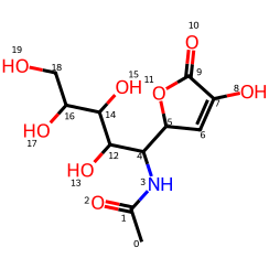 CC(=O)NC(C1C=C(O)C(=O)O1)C(O)C(O)C(O)CO